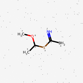 BC(=N)SC(C)OC